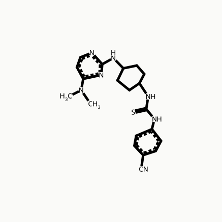 CN(C)c1ccnc(NC2CCC(NC(=S)Nc3ccc(C#N)cc3)CC2)n1